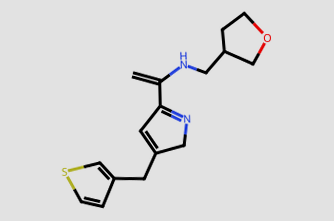 C=C(NCC1CCOC1)C1=NCC(Cc2ccsc2)=C1